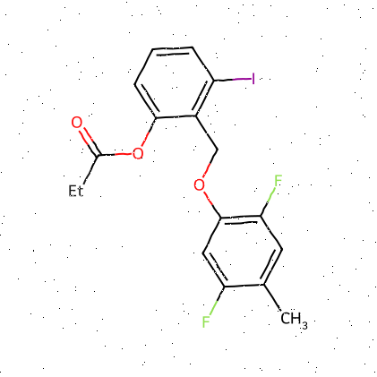 CCC(=O)Oc1cccc(I)c1COc1cc(F)c(C)cc1F